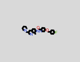 Cc1c(NC(=O)c2ccc(OCc3ccc(F)cc3)cc2)ccc2cc(CN3CCCCC3)cnc12